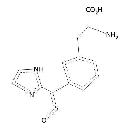 NC(Cc1cccc(C(=S=O)c2ncc[nH]2)c1)C(=O)O